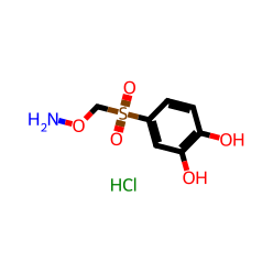 Cl.NOCS(=O)(=O)c1ccc(O)c(O)c1